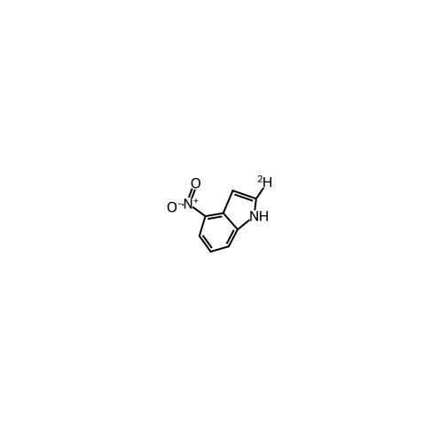 [2H]c1cc2c([N+](=O)[O-])cccc2[nH]1